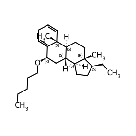 CCCCCO[C@@H]1C[C@H]2[C@@H]3CC[C@H](CC)[C@@]3(C)CC[C@@H]2[C@@]2(C)C=CCC=C12